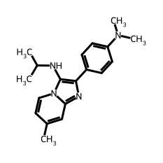 Cc1ccn2c(NC(C)C)c(-c3ccc(N(C)C)cc3)nc2c1